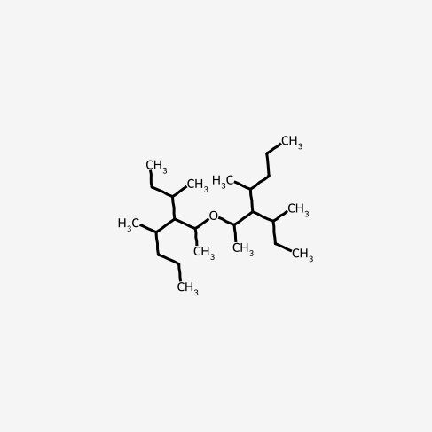 CCCC(C)C(C(C)CC)C(C)OC(C)C(C(C)CC)C(C)CCC